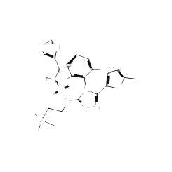 COc1cccc(OC)c1-n1c(-c2ccc(C)o2)nnc1N(CC[Si](C)(C)C)S(=O)(=O)[C@@H](C)[C@H](O)c1cscn1